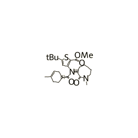 COC(=O)c1sc(C(C)(C)C)cc1N(C(=O)[C@@H]1CC=C(C)CC1)[C@H]1CCCCN(C)C1=O